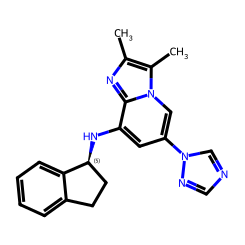 Cc1nc2c(N[C@H]3CCc4ccccc43)cc(-n3cncn3)cn2c1C